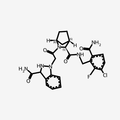 NC(=O)c1ccc(Cl)c(F)c1CNC(=O)[C@@H]1[C@H]2CC[C@H](C2)N1C(=O)CN1NC(C(N)=O)c2ccccc21